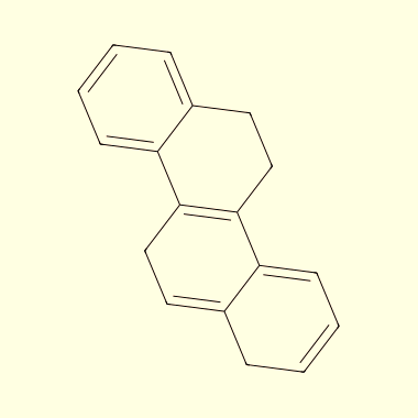 C1=CCC2=CCC3=C(CCc4ccccc43)C2=C1